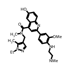 CCn1ncc(CN(C)C(=O)c2cc(-c3ccc(NCCNC)c(OC)c3)nc3ccc(O)cc23)c1C